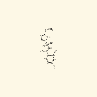 CSc1ccc(S(=O)(=O)NC(=O)c2ccc(Cl)cc2Cl)s1